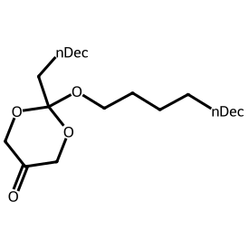 CCCCCCCCCCCCCCOC1(CCCCCCCCCCC)OCC(=O)CO1